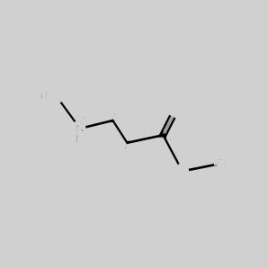 CCOC(=O)CCNC(C)(C)C